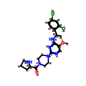 COc1cnc(N2CCN(C(=O)[C@H]3CCCN3)CC2)nc1N[C@H](C)c1ccc(Cl)cc1Cl